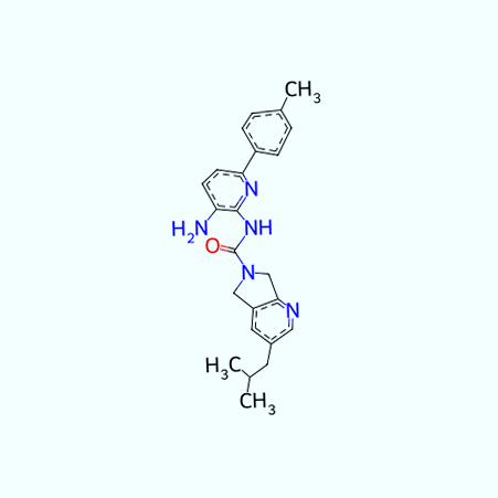 Cc1ccc(-c2ccc(N)c(NC(=O)N3Cc4cc(CC(C)C)cnc4C3)n2)cc1